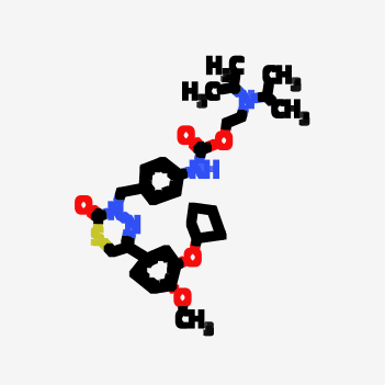 COc1ccc(C2=NN(Cc3ccc(NC(=O)OCCN(C(C)C)C(C)C)cc3)C(=O)SC2)cc1OC1CCCC1